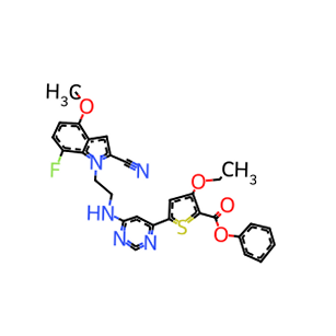 CCOc1cc(-c2cc(NCCn3c(C#N)cc4c(OC)ccc(F)c43)ncn2)sc1C(=O)Oc1ccccc1